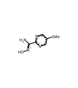 CSc1cnc(/C(N)=N/O)nc1